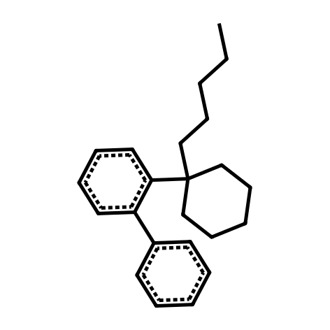 CCCCCC1(c2ccccc2-c2ccccc2)CCCCC1